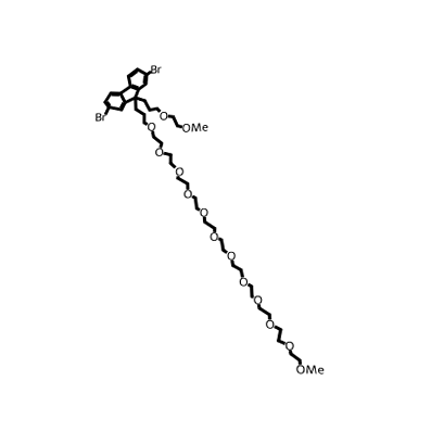 COCCOCCCC1(CCCOCCOCCOCCOCCOCCOCCOCCOCCOCCOCCOCCOC)c2cc(Br)ccc2-c2ccc(Br)cc21